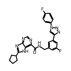 O=C(NCc1cc(F)cc(-c2cn(-c3ccc(F)cc3)nn2)c1)c1ncnc2nc(C3CCCC3)[nH]c12